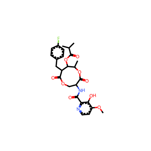 COc1ccnc(C(=O)NC2COC(=O)C(Cc3ccc(F)cc3)C(OC(=O)C(C)C)C(C)OC2=O)c1O